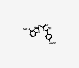 COc1ccc(C(=N)OC(=N)Nc2nc3c(OC)cccc3s2)cc1